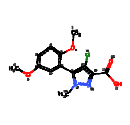 COc1ccc(OC)c(-c2c(Cl)c(C(=O)O)nn2C)c1